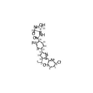 CC(Oc1ccc(Cl)nc1)c1cc(-c2ccc(C(=O)N[C@@H](CO)C(N)=O)c(F)c2)ns1